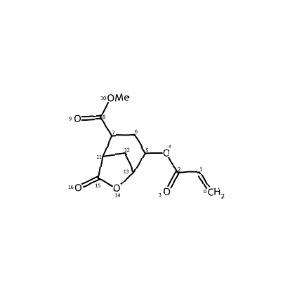 C=CC(=O)OC1CC(C(=O)OC)C2CC1OC2=O